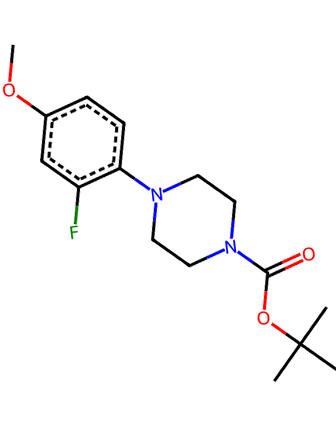 COc1ccc(N2CCN(C(=O)OC(C)(C)C)CC2)c(F)c1